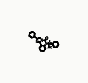 CC(=O)[N+](C)(c1ccccc1)n1c(=O)n2cc(-c3ccccc3)nc2c2ccccc21